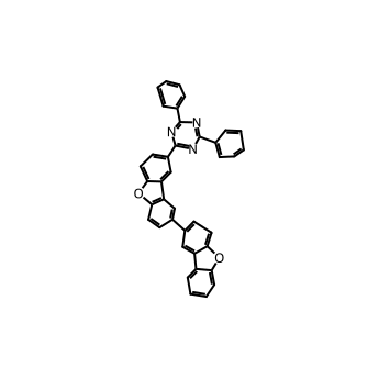 c1ccc(-c2nc(-c3ccccc3)nc(-c3ccc4oc5ccc(-c6ccc7oc8ccccc8c7c6)cc5c4c3)n2)cc1